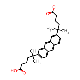 CC(C)(CCCC(=O)O)c1ccc2cc3ccc(C(C)(C)CCCC(=O)O)cc3cc2c1